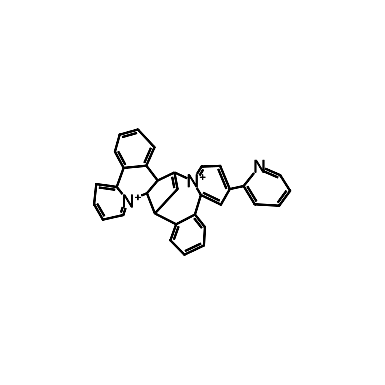 C1=C2C3c4ccccc4-c4cccc[n+]4C3C1c1ccccc1-c1cc(-c3ccccn3)cc[n+]12